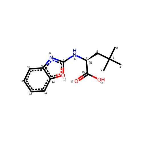 CC(C)(C)C[C@H](Nc1nc2ccccc2o1)C(=O)O